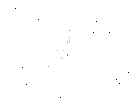 CO[C@@H]1COCC[C@H]1NC1C[C@H]2CCC[C@@]2(C(=O)N2[C@@H]3CC[C@H]2CN(c2cc(C(F)(F)F)ccn2)C3)C1